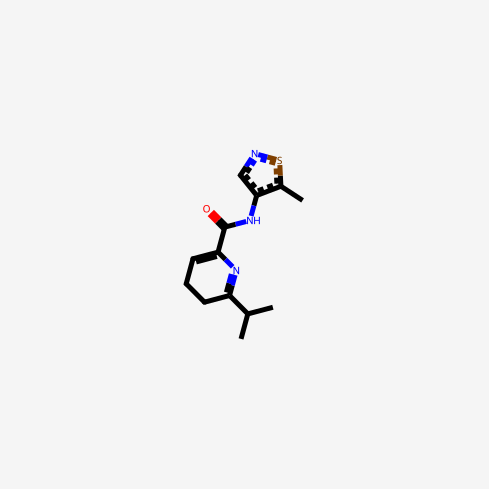 Cc1sncc1NC(=O)C1=CCCC(C(C)C)=N1